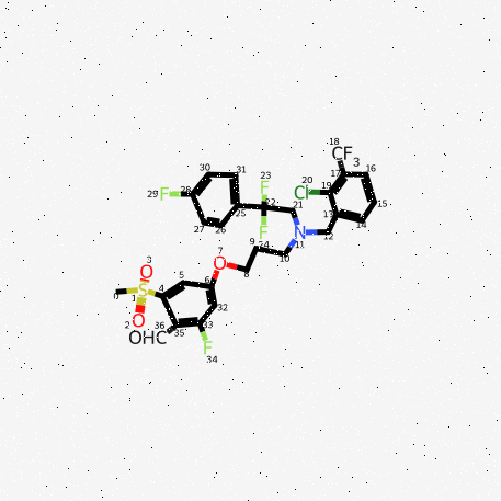 CS(=O)(=O)c1cc(OCCCN(Cc2cccc(C(F)(F)F)c2Cl)CC(F)(F)c2ccc(F)cc2)cc(F)c1C=O